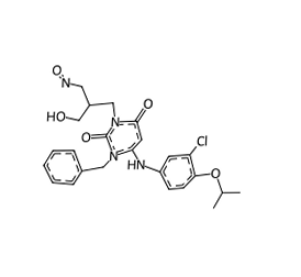 CC(C)Oc1ccc(Nc2cc(=O)n(CC(CO)CN=O)c(=O)n2Cc2ccccc2)cc1Cl